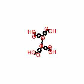 CC(C)(O)C(=O)c1ccc(C(OCCCCOC(c2ccc(C(=O)C(C)(C)O)cc2)c2ccc(C(=O)C(C)(C)O)cc2)c2ccc(C(=O)C(C)(C)O)cc2)cc1